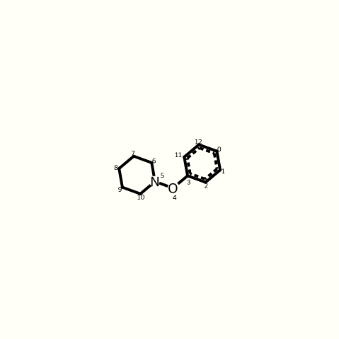 c1ccc(ON2CCCCC2)cc1